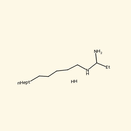 CCCCCCCCCCCCNC(N)CC.[HH]